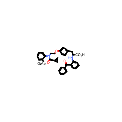 COc1ccccc1N(CCOc1ccc(CC(Nc2ccccc2C(=O)c2ccccc2)C(=O)O)cc1)C(=O)C1CC1